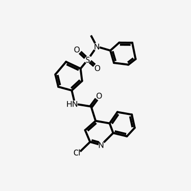 CN(c1ccccc1)S(=O)(=O)c1cccc(NC(=O)c2cc(Cl)nc3ccccc23)c1